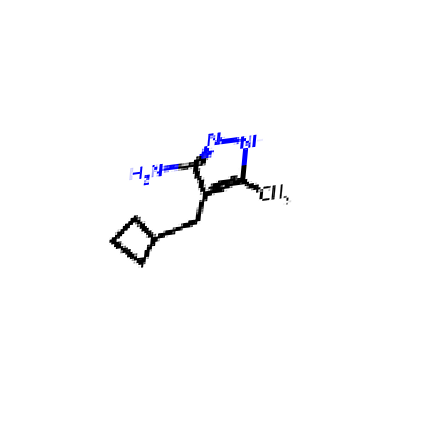 Cc1[nH]nc(N)c1CC1CCC1